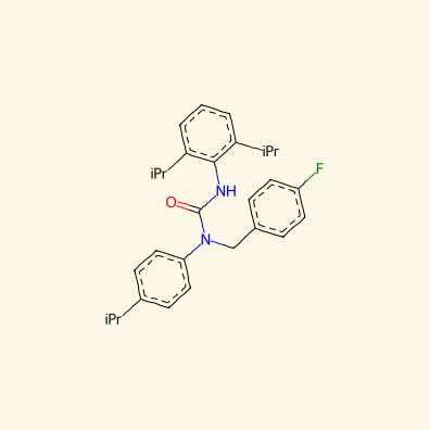 CC(C)c1ccc(N(Cc2ccc(F)cc2)C(=O)Nc2c(C(C)C)cccc2C(C)C)cc1